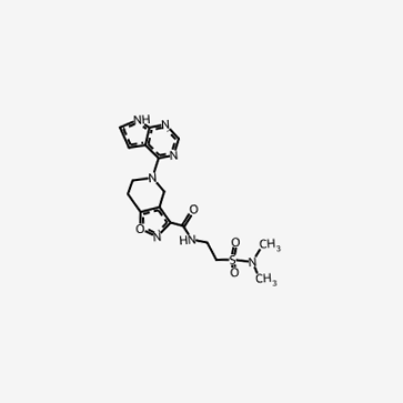 CN(C)S(=O)(=O)CCNC(=O)c1noc2c1CN(c1ncnc3[nH]ccc13)CC2